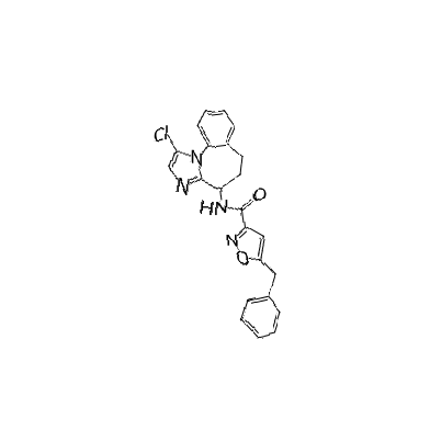 O=C(NC1CCc2ccccc2-n2c(Cl)cnc21)c1cc(Cc2ccccc2)on1